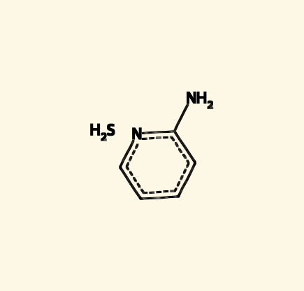 Nc1ccccn1.S